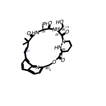 CC(C)[C@@H]1NC(=O)C(C)(C)/C=C/c2ccc3ccc(nc3c2)[C@@H](C)OC(=O)[C@@H]2CCCN(N2)C(=O)[C@H]([C@@H](C)O)NC1=O